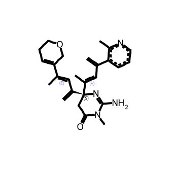 C=C(/C=C(\C)[C@@]1(C(=C)/C=C(\C)C2=CCCOC2)CC(=O)N(C)C(N)=N1)c1cccnc1C